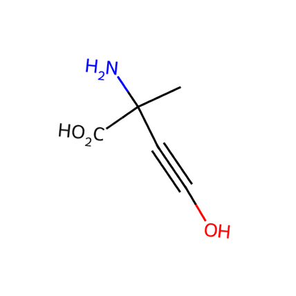 CC(N)(C#CO)C(=O)O